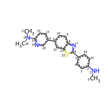 CNc1ccc(-c2nc3ccc(-c4ccc(N(C)C)nc4)cc3s2)cc1